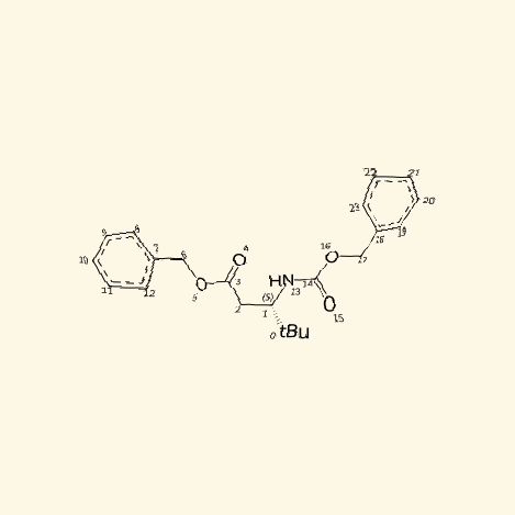 CC(C)(C)[C@H](CC(=O)OCc1ccccc1)NC(=O)OCc1ccccc1